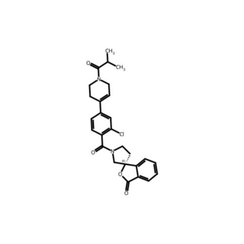 CC(C)C(=O)N1CC=C(c2ccc(C(=O)N3CC[C@@]4(C3)OC(=O)c3ccccc34)c(Cl)c2)CC1